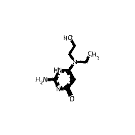 CCN(CCO)c1cc(=O)nc(N)[nH]1